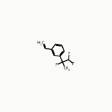 C=Cc1cccc(C(F)(C(F)F)C(F)(F)F)c1